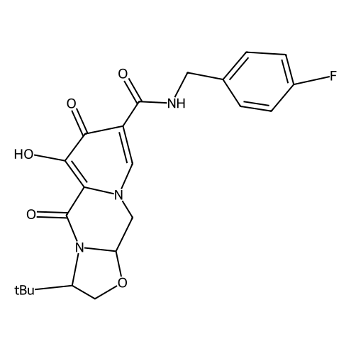 CC(C)(C)C1COC2Cn3cc(C(=O)NCc4ccc(F)cc4)c(=O)c(O)c3C(=O)N21